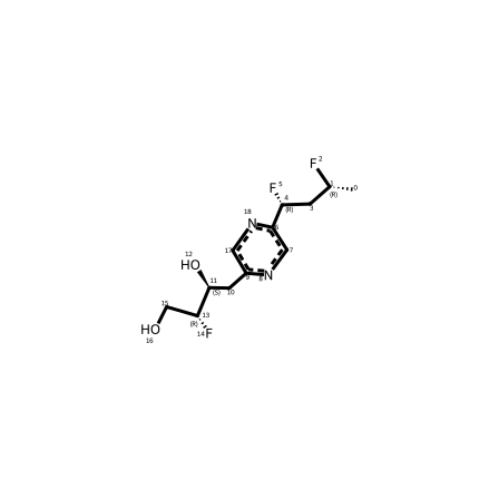 C[C@@H](F)C[C@@H](F)c1cnc(C[C@H](O)[C@H](F)CO)cn1